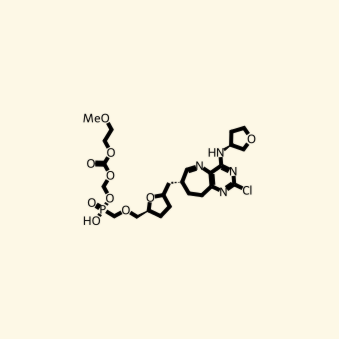 COCCOC(=O)OCOP(=O)(O)COC[C@@H]1CCC(C[C@@H]2C=Nc3c(nc(Cl)nc3N[C@H]3CCOC3)CC2)O1